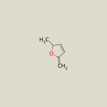 C=C1C=CC(C)O1